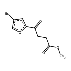 COC(=O)CCC(=O)c1cc(Br)co1